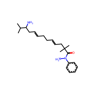 CC(C)C(N)CC=CCCC=CCC(C)(C)C(=O)N(N)c1ccccc1